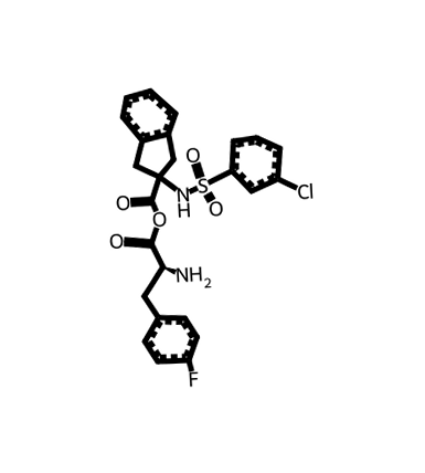 N[C@@H](Cc1ccc(F)cc1)C(=O)OC(=O)C1(NS(=O)(=O)c2cccc(Cl)c2)Cc2ccccc2C1